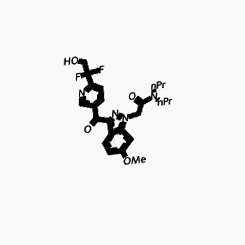 CCCN(CCC)C(=O)Cn1nc(C(=O)c2ccc(C(F)(F)CO)nc2)c2ccc(OC)cc21